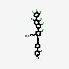 CCCc1cc(-c2cc(F)c3c(F)c(-c4cc(F)c(F)c(F)c4)c(F)cc3c2)c(F)cc1C#Cc1ccc(-c2ccc(C)cc2F)cc1